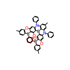 Cc1ccc2c(c1)Oc1cc3c(c4c1B2c1ccccc1O4)B1c2c(cc(C)cc2N(c2ccccc2)c2cc4c5c(c21)Oc1ccccc1B5c1ccc(C)cc1O4)N3c1ccccc1